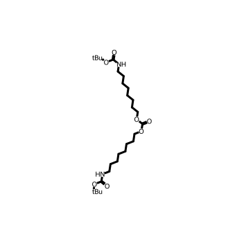 CC(C)(C)OC(=O)NCCCCCCCCOC(=O)OCCCCCCCCNC(=O)OC(C)(C)C